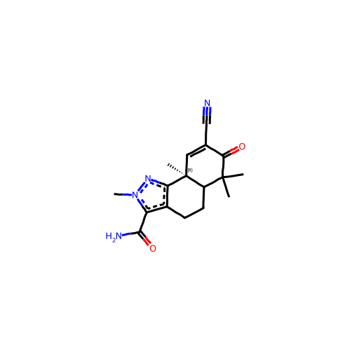 Cn1nc2c(c1C(N)=O)CCC1C(C)(C)C(=O)C(C#N)=C[C@]21C